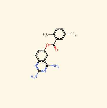 Nc1nc(N)c2cc(OC(=O)c3cc(C(F)(F)F)ccc3C(F)(F)F)ccc2n1